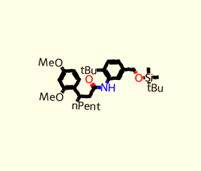 CCCCCC(CC(=O)Nc1cc(CO[Si](C)(C)C(C)(C)C)ccc1C(C)(C)C)c1ccc(OC)cc1OC